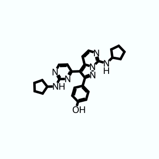 Oc1ccc(-c2nn3c(NC4CCCC4)nccc3c2-c2ccnc(NC3CCCC3)n2)cc1